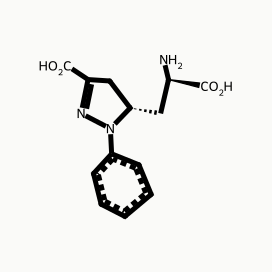 N[C@H](C[C@H]1CC(C(=O)O)=NN1c1ccccc1)C(=O)O